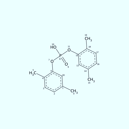 Cc1ccc(C)c(OP(=O)(O)Oc2cc(C)ccc2C)c1